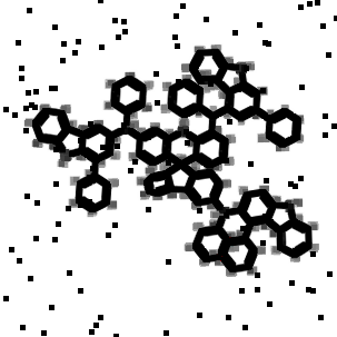 c1ccc(-c2cc(C(c3ccccc3)c3cccc4c3Oc3cc(N(c5ccccc5)c5cc(-c6ccccc6)c6oc7ccccc7c6c5)ccc3C43c4ccccc4-c4cc(N(c5ccccc5)c5ccc6sc7ccccc7c6c5-c5ccccc5)ccc43)c3c(c2)oc2ccccc23)cc1